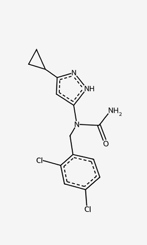 NC(=O)N(Cc1ccc(Cl)cc1Cl)c1cc(C2CC2)n[nH]1